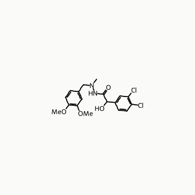 COc1ccc(CN(C)NC(=O)C(O)c2ccc(Cl)c(Cl)c2)cc1OC